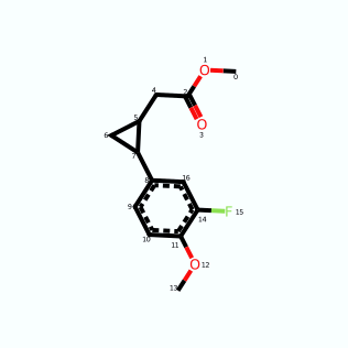 COC(=O)CC1CC1c1ccc(OC)c(F)c1